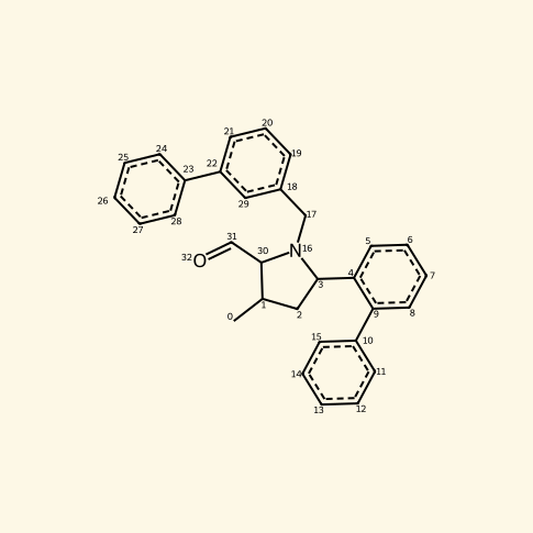 CC1CC(c2ccccc2-c2ccccc2)N(Cc2cccc(-c3ccccc3)c2)C1C=O